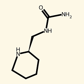 NC(=O)NC[C@H]1CCCCN1